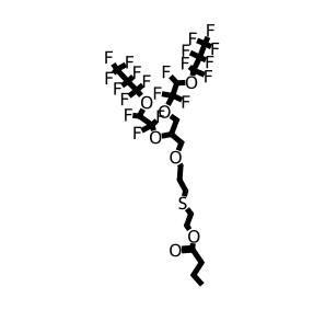 CCCC(=O)OCCSCCCOCC(COC(F)(F)C(F)OC(F)(F)C(F)(F)C(F)(F)F)OC(F)(F)C(F)OC(F)(F)C(F)(F)C(F)(F)F